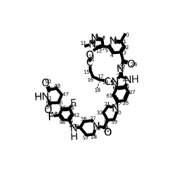 Cc1cc2cc(n1)-c1cnn(C)c1OCCC[C@@H](C)CN1/C(=N/C2=O)Nc2ccc(N3CCC(C(=O)N4CCC(Nc5cc(F)c([C@H]6CCC(=O)NC6=O)c(F)c5)CC4)CC3)cc21